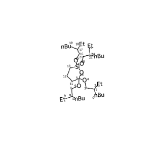 CCCCC(CC)COC1(OCC(CC)CCCC)CCC[Si](OCC(CC)CCCC)(OCC(CC)CCCC)O1